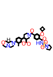 Cc1c(N2CCN3CCOC[C@H]3C2)ccc2c3c(c(=O)oc12)CN(C(=O)c1ccc(C(=O)NS(=O)(=O)N2CCCC2)c(OC2CCC2)c1)CC3